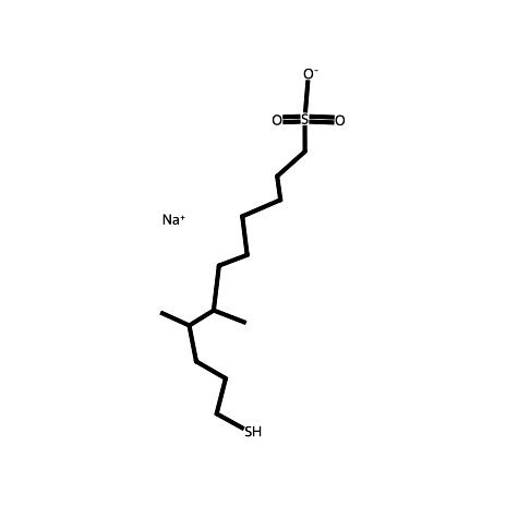 CC(CCCS)C(C)CCCCCCS(=O)(=O)[O-].[Na+]